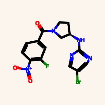 O=C(c1ccc([N+](=O)[O-])c(F)c1)N1CC[C@@H](Nc2ncc(Br)cn2)C1